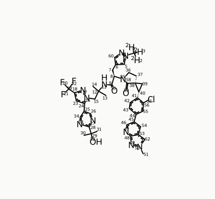 [2H]C([2H])([2H])n1cc(C[C@H](C(=O)NC(C)(C)Cn2nc(C(F)(F)F)cc2-c2cnc(C(C)(C)O)nc2)N2CC[C@@]3(C[C@@H]3c3ccc(-c4cnc5nn(C)cc5c4)cc3Cl)C2=O)cn1